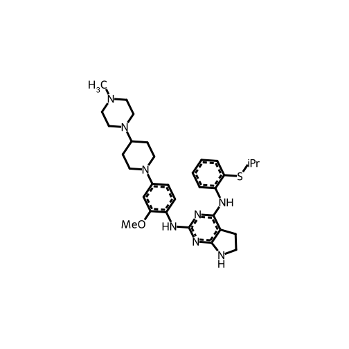 COc1cc(N2CCC(N3CCN(C)CC3)CC2)ccc1Nc1nc2c(c(Nc3ccccc3SC(C)C)n1)CCN2